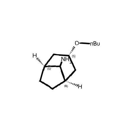 CCCCO[C@@H]1C[C@H]2CC[C@@H](C1)C2N